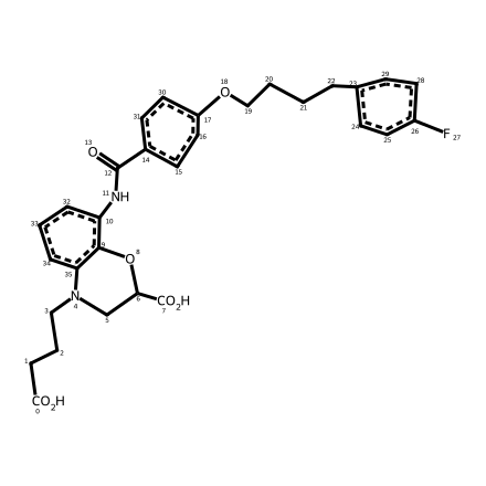 O=C(O)CCCN1CC(C(=O)O)Oc2c(NC(=O)c3ccc(OCCCCc4ccc(F)cc4)cc3)cccc21